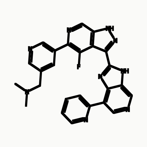 CN(C)Cc1cncc(-c2ncc3[nH]nc(-c4nc5c(-c6ccccn6)cncc5[nH]4)c3c2F)c1